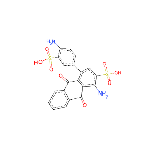 Nc1ccc(-c2cc(S(=O)(=O)O)c(N)c3c2C(=O)c2ccccc2C3=O)cc1S(=O)(=O)O